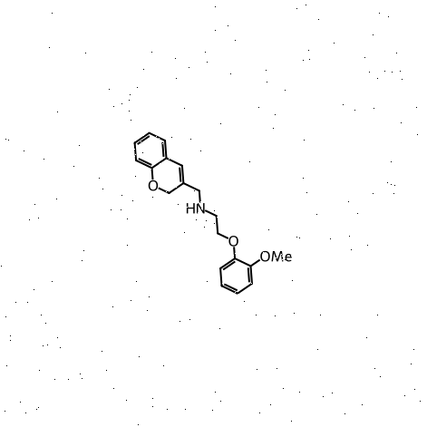 COc1ccccc1OCCNCC1=Cc2ccccc2OC1